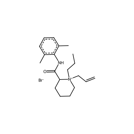 C=CC[N+]1(CCC)CCCCC1C(=O)Nc1c(C)cccc1C.[Br-]